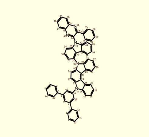 c1ccc(-c2cc(-c3ccccc3)cc(-n3c4ccccc4c4c5c6ccccc6n(-c6cccc7c6c6ccccc6n7-c6nc7ccccc7nc6-c6ccccc6)c5ccc43)c2)cc1